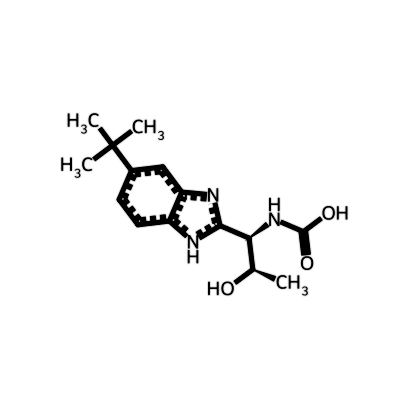 C[C@@H](O)[C@H](NC(=O)O)c1nc2cc(C(C)(C)C)ccc2[nH]1